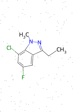 CCc1nn(C)c2c(Cl)cc(F)cc12